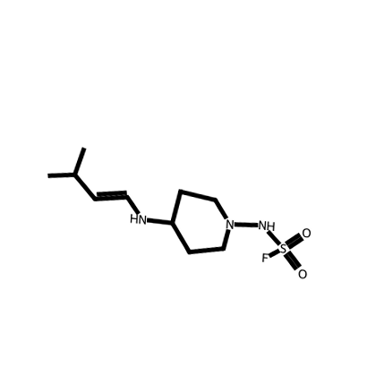 CC(C)C=CNC1CCN(NS(=O)(=O)F)CC1